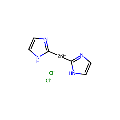 [Cl-].[Cl-].c1c[nH][c]([Zr+2][c]2ncc[nH]2)n1